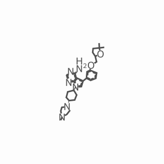 CN1CCN([C@H]2CC[C@H](n3cc(-c4cccc(OCC5CCC(C)(C)O5)c4)c4c(N)ncnc43)CC2)CC1